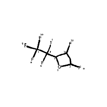 FC1OC(C(F)(F)C(F)(F)F)C1F